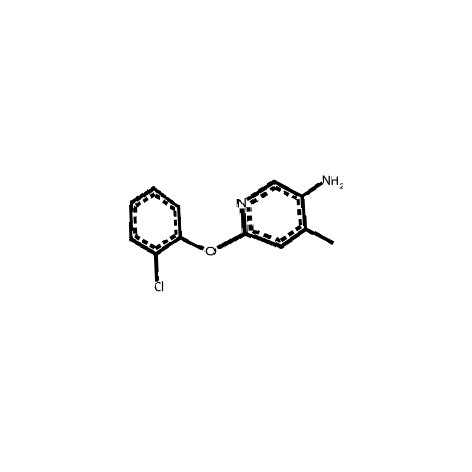 Cc1cc(Oc2ccccc2Cl)ncc1N